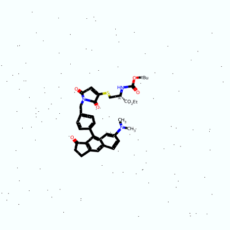 CCOC(=O)[C@H](CSC1=CC(=O)N(Cc2ccc(-c3c4c(cc5ccc(N(C)C)cc35)CCC4=O)cc2)C1=O)NC(=O)OC(C)(C)C